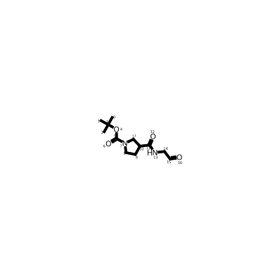 CC(C)(C)OC(=O)N1CCC(C(=O)NCC=O)C1